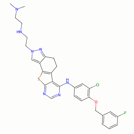 CN(C)CCNCCn1cc2c(n1)CCc1c-2sc2ncnc(Nc3ccc(OCc4cccc(F)c4)c(Cl)c3)c12